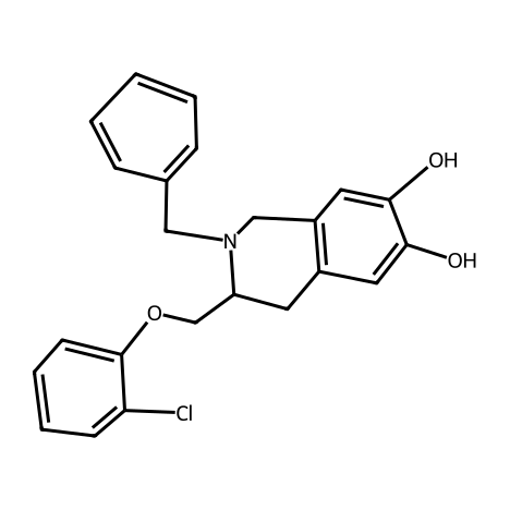 Oc1cc2c(cc1O)CN(Cc1ccccc1)C(COc1ccccc1Cl)C2